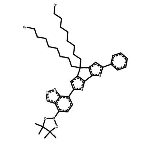 CC1(C)OB(c2ccc(-c3cc4c(s3)-c3sc(-c5ccccc5)cc3C4(CCCCCCCCBr)CCCCCCCCBr)c3nsnc23)OC1(C)C